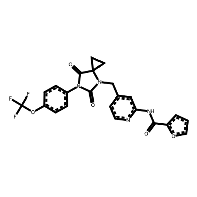 O=C(Nc1cc(CN2C(=O)N(c3ccc(OC(F)(F)F)cc3)C(=O)C23CC3)ccn1)c1ccco1